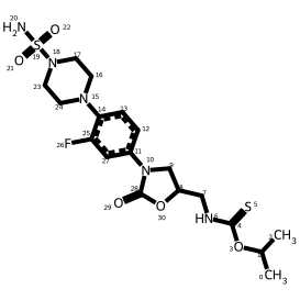 CC(C)OC(=S)NCC1CN(c2ccc(N3CCN(S(N)(=O)=O)CC3)c(F)c2)C(=O)O1